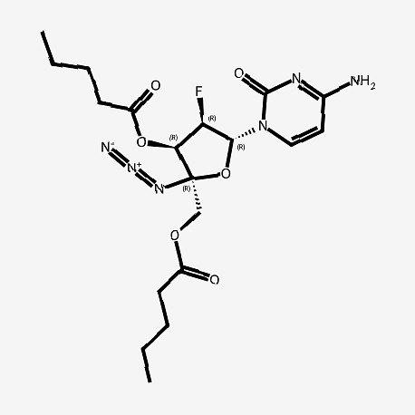 CCCCC(=O)OC[C@@]1(N=[N+]=[N-])O[C@@H](n2ccc(N)nc2=O)[C@H](F)[C@@H]1OC(=O)CCCC